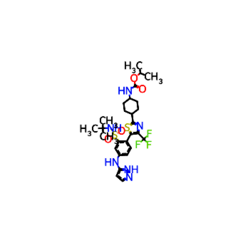 CC(C)OC(=O)NC1CCC(c2nc(C(F)(F)F)c(-c3ccc(Nc4ccn[nH]4)cc3S(=O)(=O)NC(C)(C)C)s2)CC1